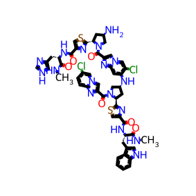 CNC(=O)[C@H](Cc1c[nH]cn1)NC(=O)c1csc([C@@H]2C[C@@H](N)CN2C(=O)c2cn3cc(Cl)c(N[C@@H]4C[C@@H](c5nc(C(=O)N[C@@H](Cc6c[nH]c7ccccc67)C(=O)NC)cs5)N(C(=O)c5cn6cc(Cl)ccc6n5)C4)cc3n2)n1